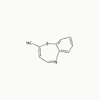 N#CC1=CC=Nc2ccccc2S1